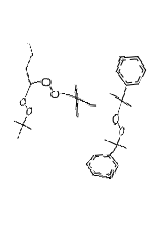 CC(C)(OOC(C)(C)c1ccccc1)c1ccccc1.[CH2]CCC(OOC(C)(C)C)OOC(C)(C)C